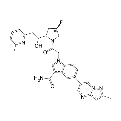 Cc1cccc(CC(O)C2C[C@@H](F)CN2C(=O)Cn2cc(C(N)=O)c3cc(-c4cnc5cc(C)nn5c4)ccc32)n1